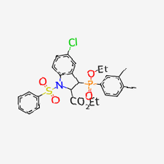 CCOC(=O)C1C(P(=O)(OCC)c2ccc(C)c(C)c2)c2cc(Cl)ccc2N1S(=O)(=O)c1ccccc1